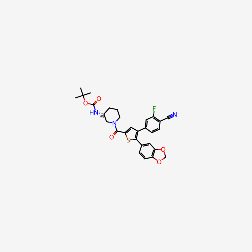 CC(C)(C)OC(=O)N[C@@H]1CCCN(C(=O)c2cc(-c3ccc(C#N)c(F)c3)c(-c3ccc4c(c3)OCO4)s2)C1